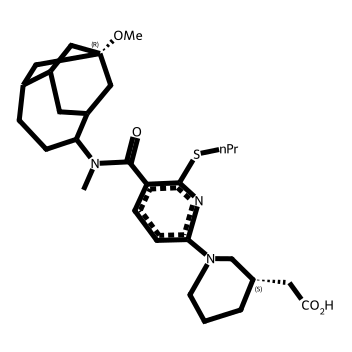 CCCSc1nc(N2CCC[C@@H](CC(=O)O)C2)ccc1C(=O)N(C)C1CCC2C[C@@]3(OC)CC2CC1C3